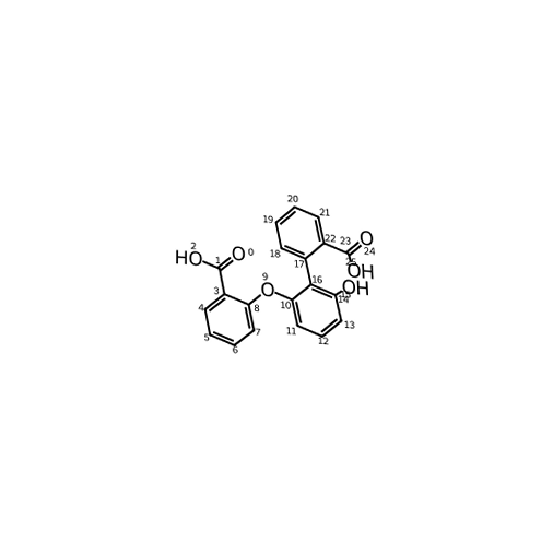 O=C(O)c1ccccc1Oc1cccc(O)c1-c1ccccc1C(=O)O